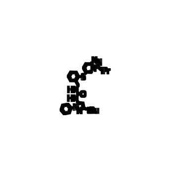 CC(C)c1nnc2ccc(Sc3ccccc3CNC(=O)Nc3cc(C(C)(C)C)nn3-c3ccccc3)cn12